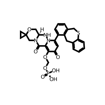 O=C1c2c(OCOP(=O)(O)O)c(=O)cc(-c3cccc4c3Cc3ccccc3SC4)n2N[C@@H]2COC3(CC3)CN12